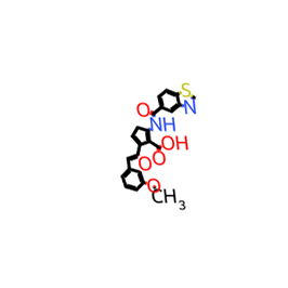 COc1cccc2cc(C3=CCC(NC(=O)c4ccc5scnc5c4)=C3C(=O)O)oc12